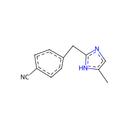 Cc1cnc(Cc2ccc(C#N)cc2)[nH]1